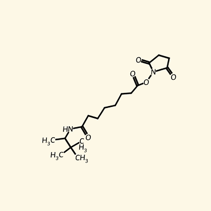 CC(NC(=O)CCCCCCC(=O)ON1C(=O)CCC1=O)C(C)(C)C